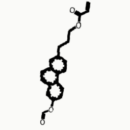 C=CC(=O)OCCCc1ccc2c(ccc3cc(OC=O)ccc32)c1